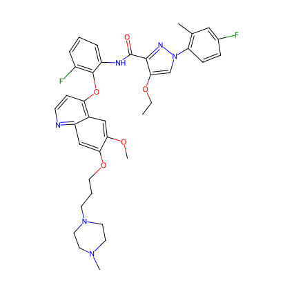 CCOc1cn(-c2ccc(F)cc2C)nc1C(=O)Nc1cccc(F)c1Oc1ccnc2cc(OCCCN3CCN(C)CC3)c(OC)cc12